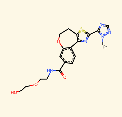 CC(C)n1ncnc1-c1nc2c(s1)CCOc1cc(C(=O)NCCOCCO)ccc1-2